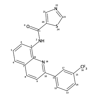 O=C(Nc1cccc2ccc(-c3cccc(C(F)(F)F)c3)nc12)c1cncs1